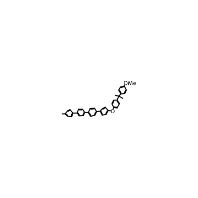 COc1ccc(C(C)(C)c2ccc(Oc3ccc(-c4ccc(-c5ccc(-c6ccc(C)cc6)cc5)cc4)cc3)cc2)cc1